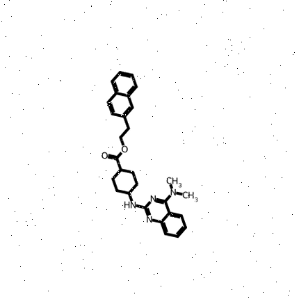 CN(C)c1nc(NC2CCC(C(=O)OCCc3ccc4ccccc4c3)CC2)nc2ccccc12